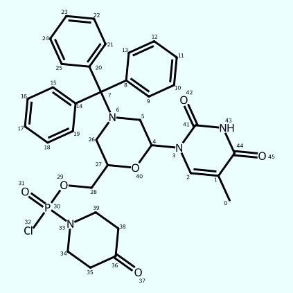 Cc1cn(C2CN(C(c3ccccc3)(c3ccccc3)c3ccccc3)CC(COP(=O)(Cl)N3CCC(=O)CC3)O2)c(=O)[nH]c1=O